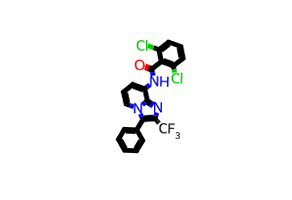 O=C(Nc1cccn2c(-c3ccccc3)c(C(F)(F)F)nc12)c1c(Cl)cccc1Cl